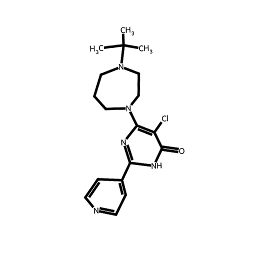 CC(C)(C)N1CCCN(c2nc(-c3ccncc3)[nH]c(=O)c2Cl)CC1